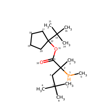 CPC(C)(CC(C)(C)C)C(=O)OC1(C(C)(C)C)CCCC1